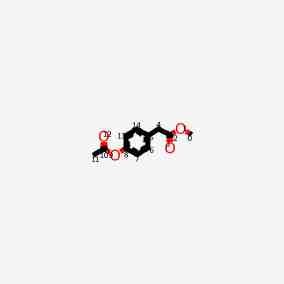 COC(=O)Cc1ccc(OC(C)=O)cc1